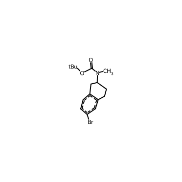 CN(C(=O)OC(C)(C)C)C1CCc2cc(Br)ccc2C1